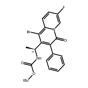 C[C@H](NC(=O)OC(C)(C)C)c1c(-c2ccccc2)c(=O)n2cc(F)ccc2c1Br